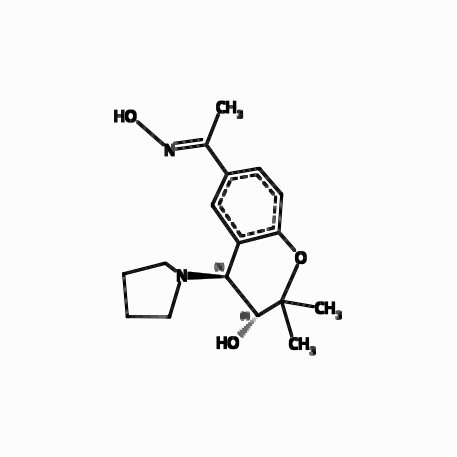 CC(=NO)c1ccc2c(c1)[C@H](N1CCCC1)[C@@H](O)C(C)(C)O2